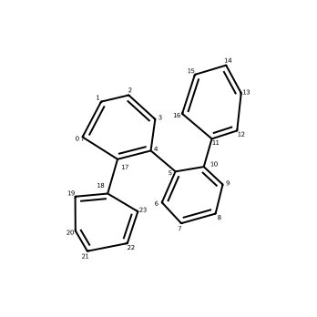 [c]1cccc(-c2ccccc2-c2ccccc2)c1-c1ccccc1